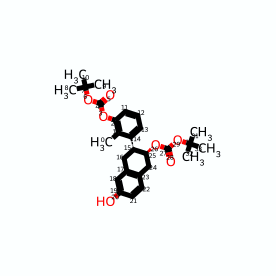 Cc1c(OC(=O)OC(C)(C)C)cccc1[C@H]1Cc2cc(O)ccc2C[C@@H]1OC(=O)OC(C)(C)C